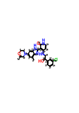 Cc1cc(N2CCO[C@H](C)C2)cc2[nH]c(-c3c(NC[C@@H](O)c4cccc(Cl)c4)cc[nH]c3=O)nc12